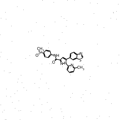 Cc1cccc(-n2nc(C(=O)Nc3ccc([S+](C)[O-])cc3)cc2-c2ccc3ncsc3c2)n1